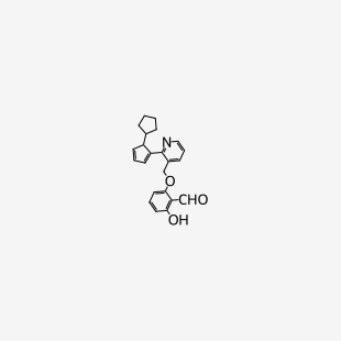 O=Cc1c(O)cccc1OCc1cccnc1C1=CC=CC1C1CCCC1